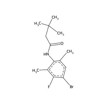 Cc1cc(Br)c(F)c(C)c1NC(=O)CC(C)(C)C